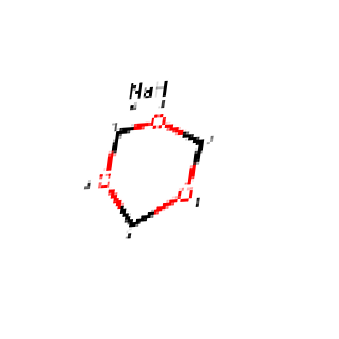 C1OCOCO1.[NaH]